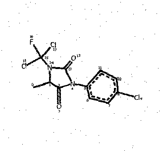 CC1C(=O)N(c2ccc(Cl)cc2)C(=O)N1C(F)(Cl)Cl